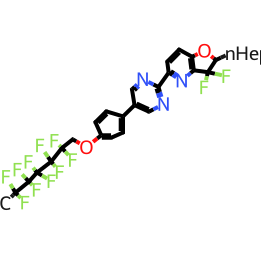 CCCCCCCC1Oc2ccc(-c3ncc(-c4ccc(OCC(F)(F)C(F)(F)C(F)(F)C(F)(F)C(F)(F)C(F)(F)F)cc4)cn3)nc2C1(F)F